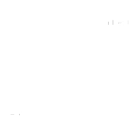 CC#Cc1ccc(CCC2CCC(CCCCCCC)CC2)cc1